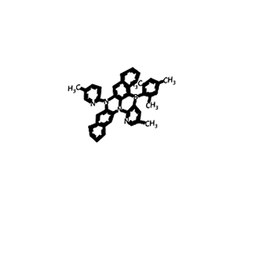 Cc1ccc(N2c3cc4ccccc4cc3N3c4ncc(C)cc4B(c4c(C)cc(C)cc4C)c4c3c2cc2ccccc42)nc1